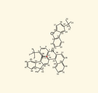 CC(C)(C)c1ccc(N(c2ccc3c(c2)oc2ccc(C(C)(C)C)cc23)c2ccc3ccccc3c2-c2ccc3c(c2)C(C)(C)c2ccccc2-3)cc1